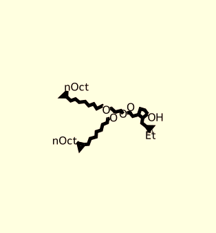 CCCCCCCCC1CC1CCCCCCCCOCC(COC(=O)CC1CCC(O)C1CC1C[C@@H]1CC)OCCCCCCCCC1CC1CCCCCCCC